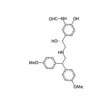 COc1ccc(C(CNC[C@H](O)c2ccc(O)c(NC=O)c2)c2ccc(OC)cc2)cc1